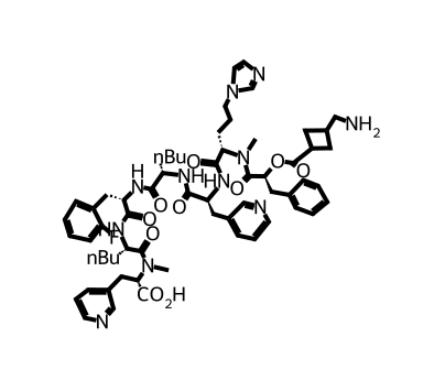 CCCC[C@H](NC(=O)[C@H](Cc1cccnc1)NC(=O)[C@H](CCCn1ccnc1)N(C)C(=O)[C@H](Cc1ccccc1)OC(=O)C1CC(CN)C1)C(=O)N[C@@H](Cc1ccccc1F)C(=O)N[C@@H](CCCC)C(=O)N(C)[C@@H](Cc1cccnc1)C(=O)O